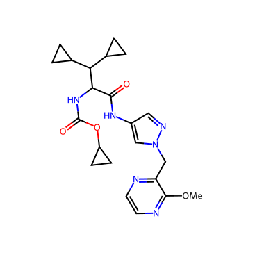 COc1nccnc1Cn1cc(NC(=O)C(NC(=O)OC2CC2)C(C2CC2)C2CC2)cn1